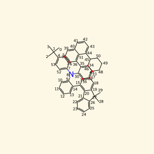 CC(C)(C)c1ccc(N(c2ccccc2-c2cccc3c2-c2ccccc2C3(C)C)c2ccccc2-c2cccc3cccc(C4CCCCC4)c23)cc1